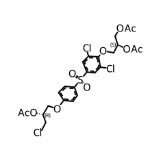 CC(=O)OC[C@H](COc1c(Cl)cc(S(=O)(=O)c2ccc(OC[C@H](CCl)OC(C)=O)cc2)cc1Cl)OC(C)=O